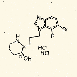 Cl.Cl.O[C@H]1CCCN[C@@H]1CCCn1cnc2ccc(Br)c(F)c21